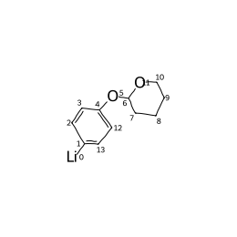 [Li][c]1ccc(OC2CCCCO2)cc1